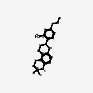 CCSc1ccc(C2COc3c(ccc4c3CCC(C)(C)O4)C2)c(O)c1